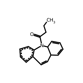 CCCC(=O)N1c2ccccc2C=CC2C=CC=CC21